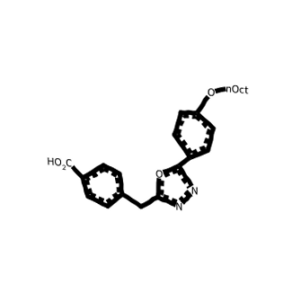 CCCCCCCCOc1ccc(-c2nnc(Cc3ccc(C(=O)O)cc3)o2)cc1